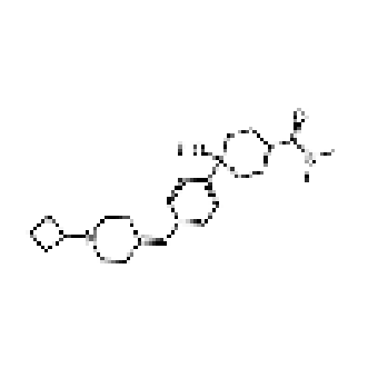 CN(C)C(=O)C1CCC(O)(c2ccc(C=C3CCN(C4CCC4)CC3)cc2)CC1